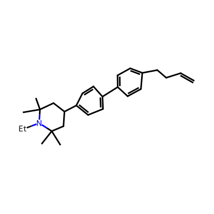 C=CCCc1ccc(-c2ccc(C3CC(C)(C)N(CC)C(C)(C)C3)cc2)cc1